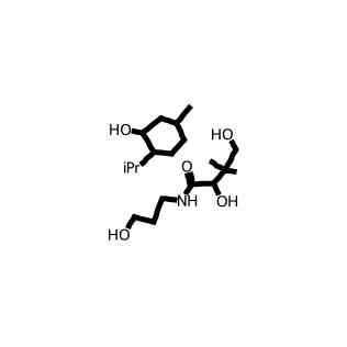 CC(C)(CO)C(O)C(=O)NCCCO.CC1CCC(C(C)C)C(O)C1